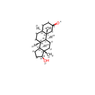 C[C@]12CC(=O)CC[C@@H]1CC[C@@H]1[C@@H]2CC[C@]2(C)[C@@H](O)CC[C@@H]12